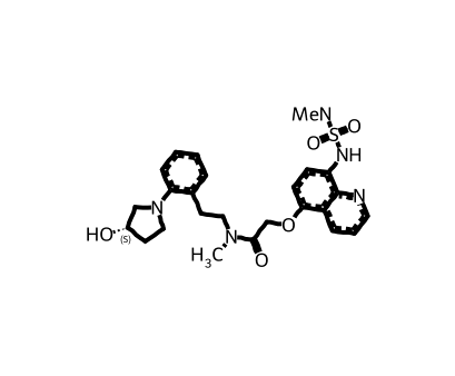 CNS(=O)(=O)Nc1ccc(OCC(=O)N(C)CCc2ccccc2N2CC[C@H](O)C2)c2cccnc12